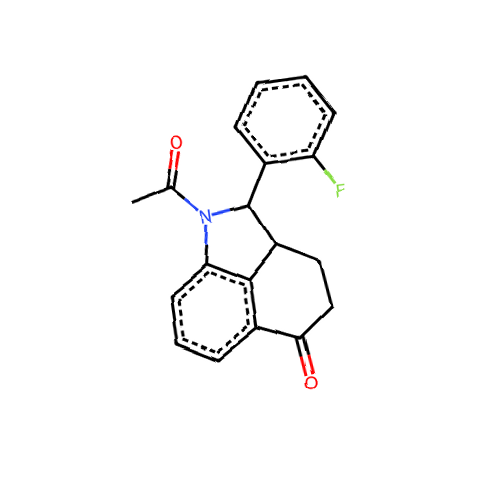 CC(=O)N1c2cccc3c2C(CCC3=O)C1c1ccccc1F